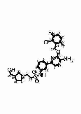 Nc1ncc(-c2cccc(NS(=O)(=O)CCN3CCC(CO)C3)c2)nc1OCc1c(F)ccc(F)c1Cl